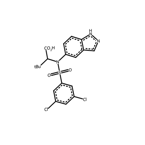 CC(C)(C)C(C(=O)O)N(c1ccc2[nH]ncc2c1)S(=O)(=O)c1cc(Cl)cc(Cl)c1